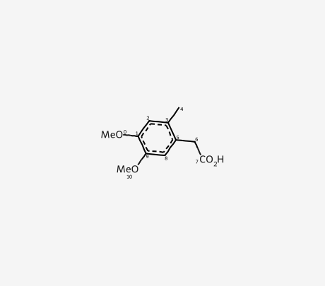 COc1cc(C)c(CC(=O)O)cc1OC